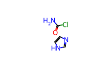 NC(=O)Cl.c1c[nH]cn1